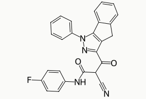 N#CC(C(=O)Nc1ccc(F)cc1)C(=O)c1nn(-c2ccccc2)c2c1Cc1ccccc1-2